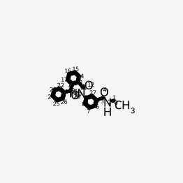 CCNC(=O)c1cccc(NC(=O)c2ccccc2C(=O)c2ccccc2)c1